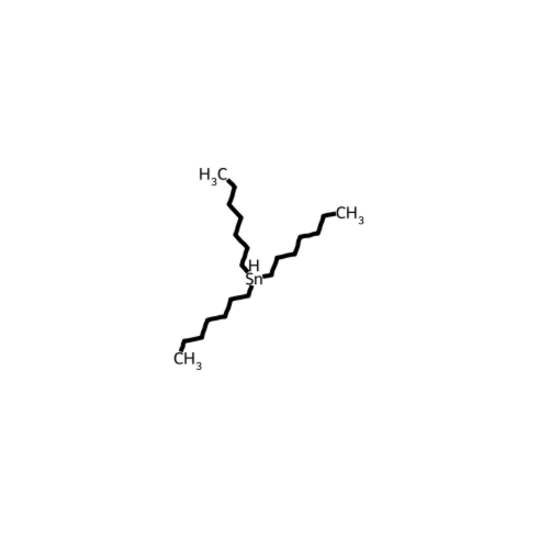 CCCCCC[CH2][SnH]([CH2]CCCCCC)[CH2]CCCCCC